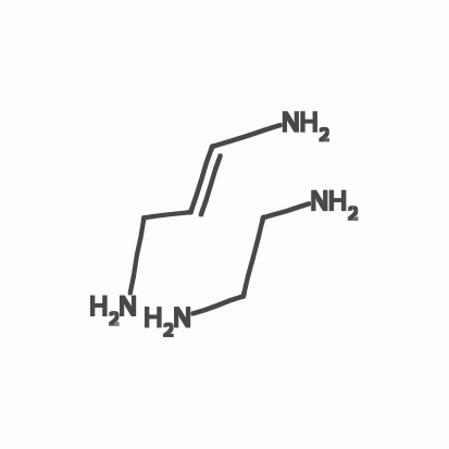 NC=CCN.NCCN